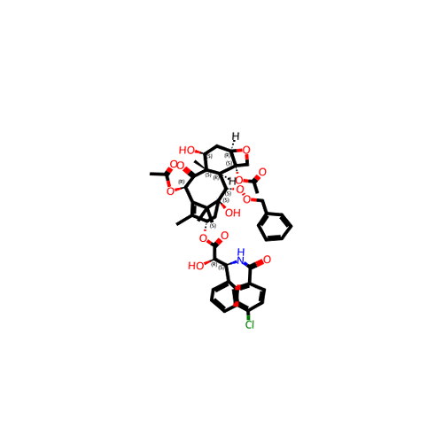 CC(=O)O[C@H]1C(=O)[C@@]2(C)[C@H]([C@H](OOCc3ccccc3)[C@]3(O)C[C@H](OC(=O)[C@H](O)[C@@H](NC(=O)c4ccc(Cl)cc4)c4ccccc4)C(C)=C1C3(C)C)[C@]1(OC(C)=O)CO[C@@H]1C[C@@H]2O